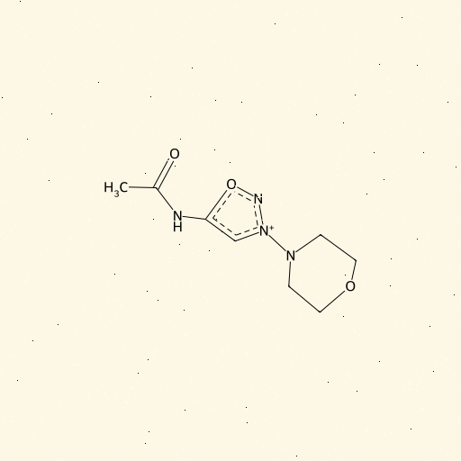 CC(=O)Nc1c[n+](N2CCOCC2)no1